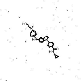 CN(CCO)c1ccc(Nc2ccc3c(ccn3-c3ccc(C(=O)NC4CC4)cc3)c2)cc1